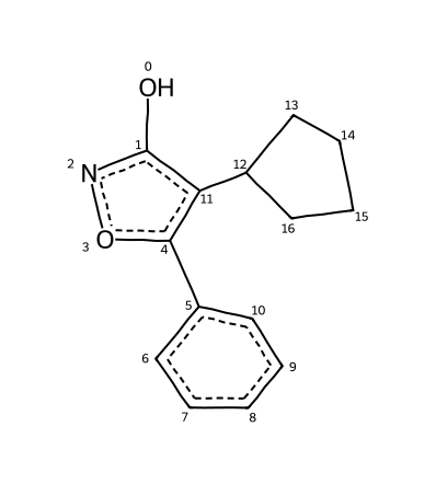 Oc1noc(-c2ccccc2)c1C1CCCC1